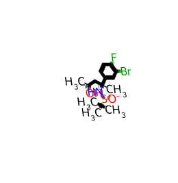 C[C@@H](O)C[C@](C)(N[S+]([O-])C(C)(C)C)c1ccc(F)c(Br)c1